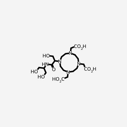 O=C(O)CN1CCN(CC(=O)O)CCN(C(CO)C(=O)NC(CO)CO)CCN(CC(=O)O)CC1